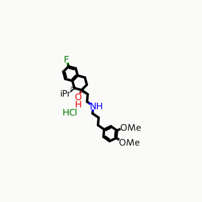 COc1ccc(CCCNCC[C@@]2(O)CCc3cc(F)ccc3[C@@H]2C(C)C)cc1OC.Cl